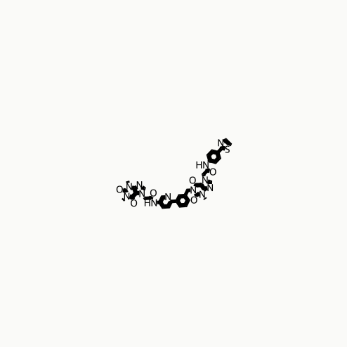 Cn1c(=O)c2c(ncn2CC(=O)Nc2ccc(-c3cccc(Cn4c(=O)c5c(ncn5CC(=O)Nc5ccc(-c6nccs6)cc5)n(C)c4=O)c3)nc2)n(C)c1=O